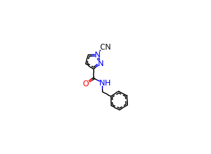 N#Cn1ccc(C(=O)NCc2ccccc2)n1